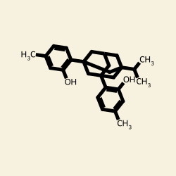 Cc1ccc(C23CC4CC(c5ccc(C)cc5O)(C2)CC(C(C)C)(C4)C3)c(O)c1